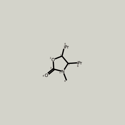 CC(C)C1OC(=O)N(C)C1C(C)C